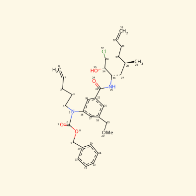 C=CCCCN(C(=O)OCc1ccccc1)c1cc(COC)cc(C(=O)N[C@@H](C[C@H](C)CCC=C)[C@H](O)CCl)c1